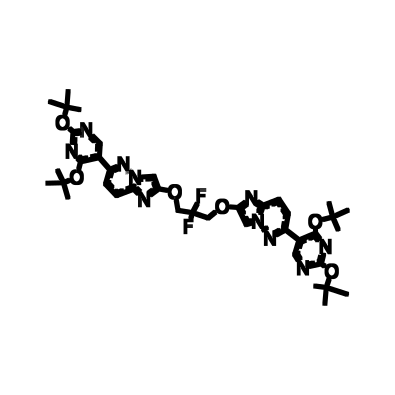 CC(C)(C)Oc1ncc(-c2ccc3nc(OCC(F)(F)COc4cn5nc(-c6cnc(OC(C)(C)C)nc6OC(C)(C)C)ccc5n4)cn3n2)c(OC(C)(C)C)n1